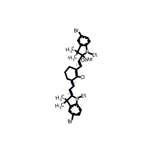 CCN1/C(=C\C=C2/CCCC(/C=C/C3(OC)N(CC)c4ccc(Br)cc4C3(C)C)=C2Cl)C(C)(C)c2cc(Br)ccc21